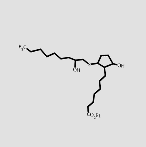 CCOC(=O)CCCCCCC1C(O)CCC1SCC(O)CCCCCCC(F)(F)F